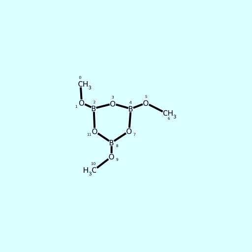 COB1OB(OC)OB(OC)O1